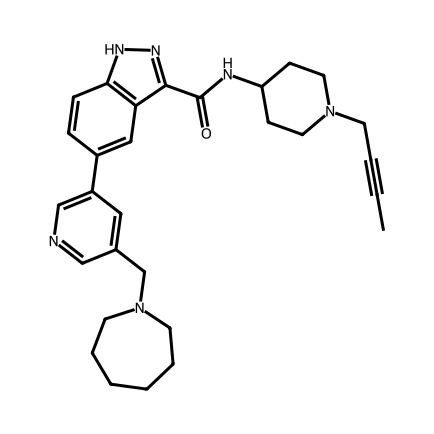 CC#CCN1CCC(NC(=O)c2n[nH]c3ccc(-c4cncc(CN5CCCCCC5)c4)cc23)CC1